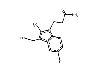 Cc1c(CO)c2cc(F)ccc2n1CCC(N)=O